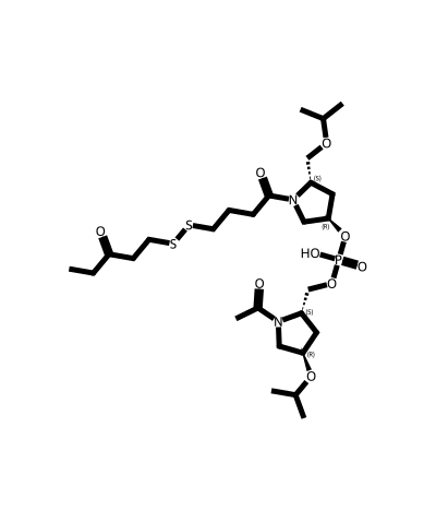 CCC(=O)CCSSCCCC(=O)N1C[C@H](OP(=O)(O)OC[C@@H]2C[C@@H](OC(C)C)CN2C(C)=O)C[C@H]1COC(C)C